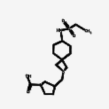 CCS(=O)(=O)NC1CCC2(CC1)CN(CC1CCN(C(=O)O)C1)C2